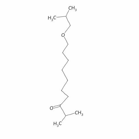 CC(C)COCCCCCCCC(=O)C(C)C